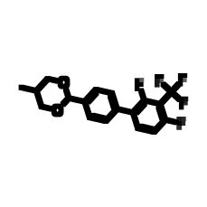 CC1COC(c2ccc(-c3ccc(F)c(C(F)(F)F)c3F)cc2)OC1